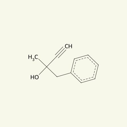 C#CC(C)(O)Cc1ccccc1